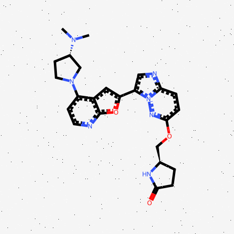 CN(C)[C@H]1CCN(c2ccnc3oc(-c4cnc5ccc(OC[C@H]6CCC(=O)N6)nn45)cc23)C1